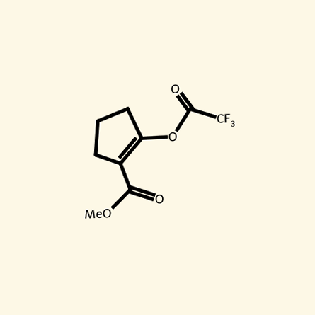 COC(=O)C1=C(OC(=O)C(F)(F)F)CCC1